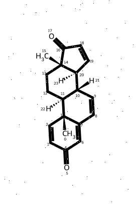 C[C@]12C=CC(=O)C=C1C=C[C@@H]1[C@@H]2CC[C@]2(C)C(=O)C=C[C@@H]12